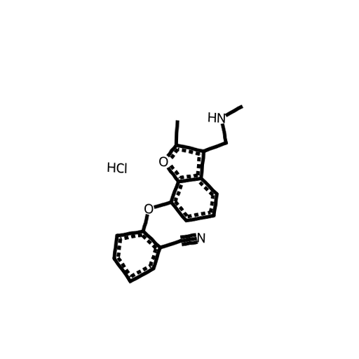 CNCc1c(C)oc2c(Oc3ccccc3C#N)cccc12.Cl